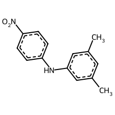 Cc1cc(C)cc(Nc2ccc([N+](=O)[O-])cc2)c1